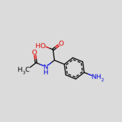 CC(=O)NC(C(=O)O)c1ccc(N)cc1